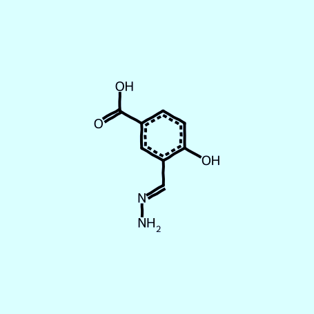 NN=Cc1cc(C(=O)O)ccc1O